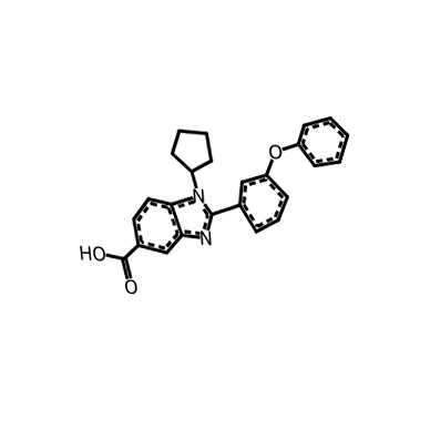 O=C(O)c1ccc2c(c1)nc(-c1cccc(Oc3ccccc3)c1)n2C1CCCC1